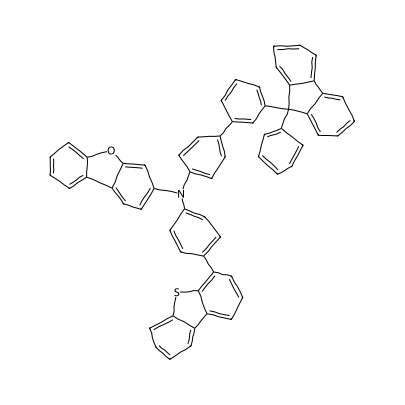 c1ccc(C2(c3cccc(-c4ccc(N(c5ccc(-c6cccc7c6sc6ccccc67)cc5)c5ccc6c(c5)oc5ccccc56)cc4)c3)c3ccccc3-c3ccccc32)cc1